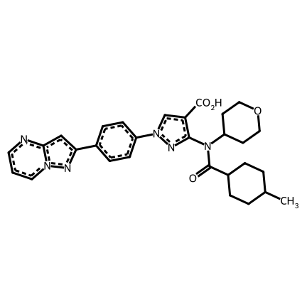 CC1CCC(C(=O)N(c2nn(-c3ccc(-c4cc5ncccn5n4)cc3)cc2C(=O)O)C2CCOCC2)CC1